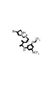 C=C(/C=C\N(C)CN1C=C(Br)CN1)C(=C)Nc1cc(NC(F)(F)F)cc(OCC(F)(F)F)c1